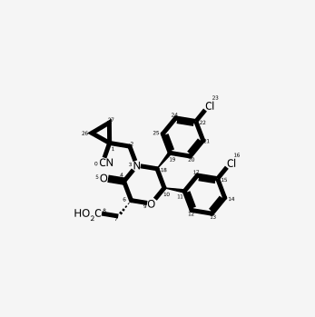 N#CC1(CN2C(=O)[C@@H](CC(=O)O)O[C@H](c3cccc(Cl)c3)[C@@H]2c2ccc(Cl)cc2)CC1